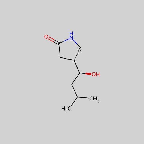 CC(C)C[C@H](O)[C@H]1CNC(=O)C1